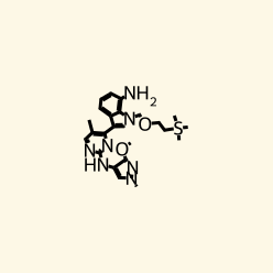 COc1nn(C)cc1Nc1ncc(C)c(-c2cn(COCCS(C)(C)C)c3c(N)cccc23)n1